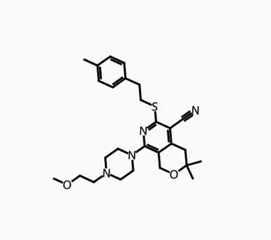 COCCN1CCN(c2nc(SCCc3ccc(C)cc3)c(C#N)c3c2COC(C)(C)C3)CC1